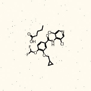 CCCCC(=O)O.O=C(Nc1c(Cl)cncc1Cl)c1ccc(OC(F)F)c(OCC2CC2)c1